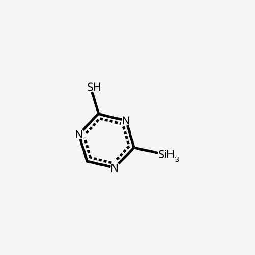 [SiH3]c1ncnc(S)n1